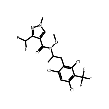 CON(C(=O)c1cn(C)nc1C(F)F)C(C)Cc1c(Cl)cc(Cl)c(C(F)(F)F)c1Cl